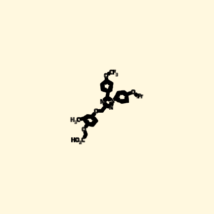 Cc1cc(OCc2nc(-c3ccc(OC(F)(F)F)cc3)n(-c3ccc(OC(C)C)cc3)n2)ccc1OCC(=O)O